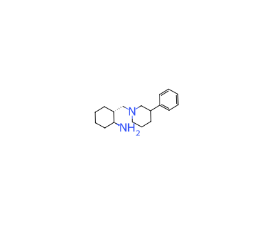 N[C@H]1CCCC[C@@H]1CN1CCCC(c2ccccc2)C1